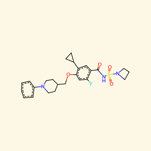 O=C(NS(=O)(=O)N1CCC1)c1cc(C2CC2)c(OCC2CCN(c3ccccc3)CC2)cc1F